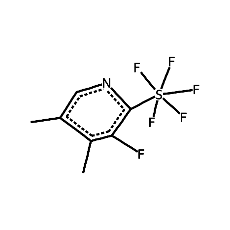 Cc1cnc(S(F)(F)(F)(F)F)c(F)c1C